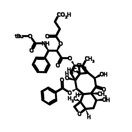 CC1=C2[C@@H](O)C(=O)[C@@]3(C)[C@H]([C@H](OC(=O)c4ccccc4)[C@](O)(C[C@@H]1OC(=O)[C@H](OC(=O)CCC(=O)O)[C@H](NC(=O)OC(C)(C)C)c1ccccc1)C2(C)C)[C@]1(C)CO[C@@H]1C[C@@H]3O